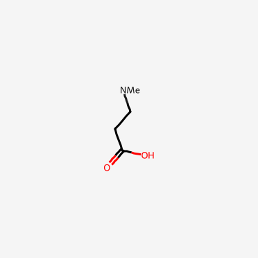 CNCCC(=O)O